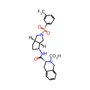 O=C(N[C@H]1CC[C@@H]2CN(S(=O)(=O)c3cccc(C(F)(F)F)c3)C[C@@H]21)[C@@H]1Cc2ccccc2CN1C(=O)O